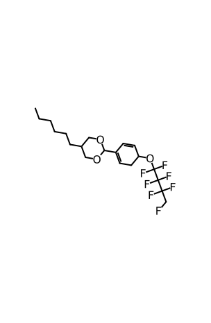 CCCCCCC1COC(C2=CCC(OC(F)(F)C(F)(F)C(F)(F)CF)C=C2)OC1